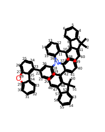 CC1(C)c2ccccc2-c2c(-c3ccccc3N(c3cccc(-c4cccc5oc6ccccc6c45)c3)c3ccccc3-c3cccc4c3C(C)(C)c3ccccc3-4)cccc21